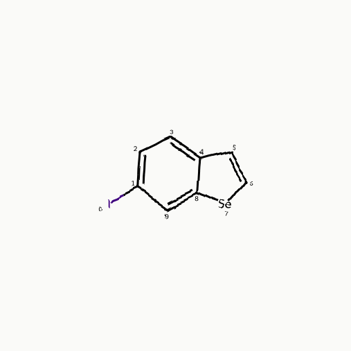 Ic1ccc2cc[se]c2c1